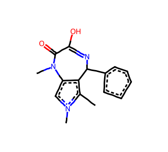 Cc1c2c(cn1C)N(C)C(=O)C(O)=NC2c1ccccc1